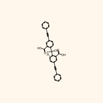 CC(C)(c1ccc(C#Cc2ccccc2)cc1C(=O)O)c1ccc(C#Cc2ccccc2)cc1C(=O)O